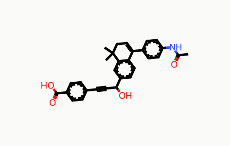 CC(=O)Nc1ccc(C2=CCC(C)(C)c3cc(C(O)C#Cc4ccc(C(=O)O)cc4)ccc32)cc1